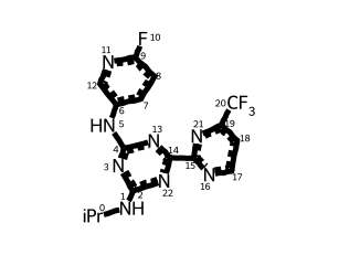 CC(C)Nc1nc(Nc2ccc(F)nc2)nc(-c2nccc(C(F)(F)F)n2)n1